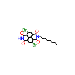 CCCCCCCCN1C(=O)c2cc(Br)c3c4c(cc(Br)c(c24)C1=O)C(=O)NC3=O